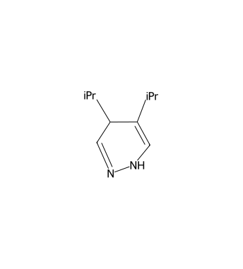 CC(C)C1=CNN=CC1C(C)C